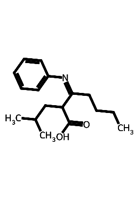 CCCCC(=Nc1ccccc1)C(CC(C)C)C(=O)O